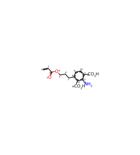 C=CC(=O)OCCCc1ccc(C(=O)O)c(N)c1C(=O)O